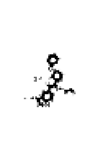 O=C([O-])c1c[nH]c2ccc(C(F)C(=NOCCF)c3cccc(Oc4ccccc4)c3)cc12.[Na+]